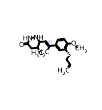 C=CCSc1cc(/C(C)=C/C2NNC(=O)CC2C)ccc1OC